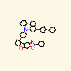 C1=C(c2ccc(-c3ccccc3)cc2)CCC(N(c2ccc(-c3cccc4oc5cc6oc(-c7ccccc7)nc6cc5c34)cc2)c2ccccc2-c2ccccc2)=C1